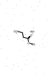 CCOC(=O)CC[N+](=O)[O-].[KH]